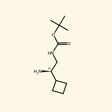 CC(C)(C)OC(=O)NC[C@H](N)C1CCC1